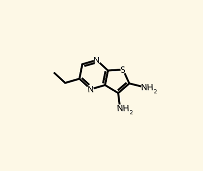 CCc1cnc2sc(N)c(N)c2n1